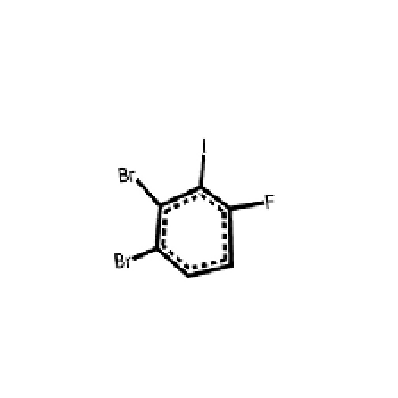 Fc1ccc(Br)c(Br)c1I